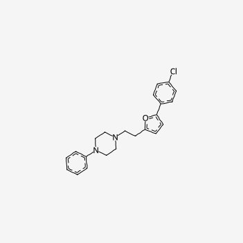 Clc1ccc(-c2ccc(CCN3CCN(c4ccccc4)CC3)o2)cc1